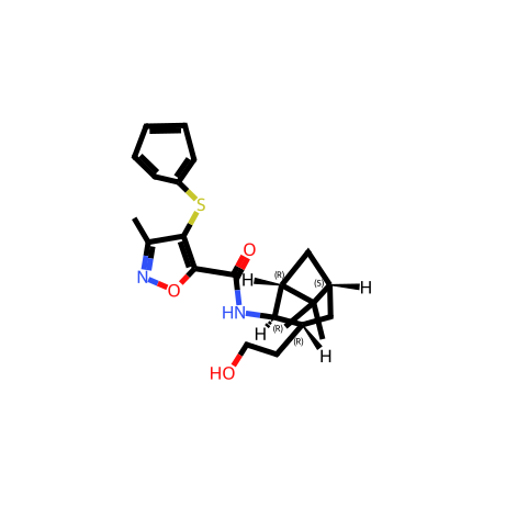 Cc1noc(C(=O)N[C@@H]2[C@@H](CCO)C[C@H]3C[C@@H]2C3(C)C)c1Sc1ccccc1